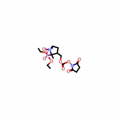 CCOP(=O)(OCC)C1(C)C(COC(=O)ON2C(=O)CCC2=O)CC=[N+]1[O-]